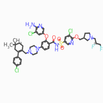 CC1(C)CCC(CN2CCN(c3ccc(C(=O)NS(=O)(=O)c4cnc(OCC5CCN(C[C@@H](F)CF)C5)c(Cl)c4)c(Oc4cnc(N)c(Cl)c4)c3)CC2)=C(c2ccc(Cl)cc2)C1